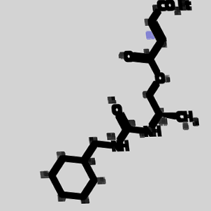 CCOC(=O)/C=C/C(=O)OC[C@@H](C)NC(=O)NCC1CCCCC1